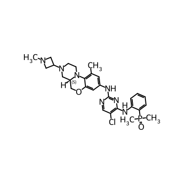 Cc1cc(Nc2ncc(Cl)c(Nc3ccccc3P(C)(C)=O)n2)cc2c1N1CCN(C3CN(C)C3)C[C@H]1CO2